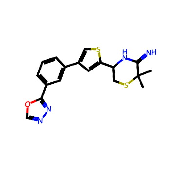 CC1(C)SCC(c2cc(-c3cccc(-c4nnco4)c3)cs2)NC1=N